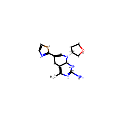 CC1=C2CC(c3nccs3)=CN([C@@H]3CCOC3)C2NC(N)=N1